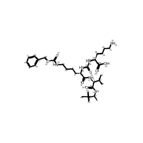 CC(C)[C@H](NC(=O)[C@@H](CCCCNC(=O)OCc1ccccc1)NC(=O)N[C@@H](CCCCN)C(=O)O)C(=O)NC(C)C(C)(C)C